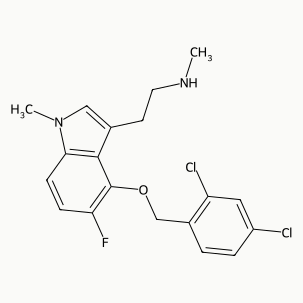 CNCCc1cn(C)c2ccc(F)c(OCc3ccc(Cl)cc3Cl)c12